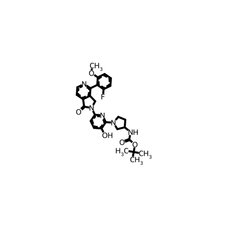 COc1cccc(F)c1-c1nccc2c1CN(c1ccc(O)c(N3CCC(NC(=O)OC(C)(C)C)C3)n1)C2=O